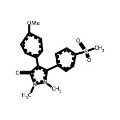 COc1ccc(-c2c(-c3ccc(S(C)(=O)=O)cc3)n(C)n(C)c2=O)cc1